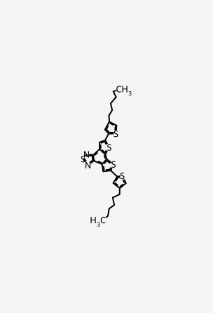 CCCCCCc1csc(-c2cc3c4nsnc4c4cc(-c5cc(CCCCCC)cs5)sc4c3s2)c1